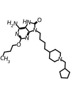 CCCCOc1nc(N)c2[nH]c(=O)n(CCCCC3CCN(CC4CCCC4)CC3)c2n1